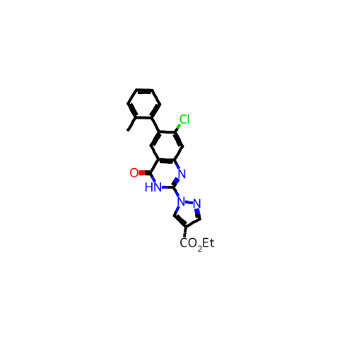 CCOC(=O)c1cnn(-c2nc3cc(Cl)c(-c4ccccc4C)cc3c(=O)[nH]2)c1